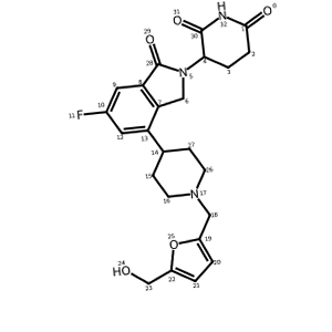 O=C1CCC(N2Cc3c(cc(F)cc3C3CCN(Cc4ccc(CO)o4)CC3)C2=O)C(=O)N1